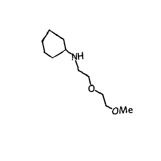 COCCOCCNC1CCCCC1